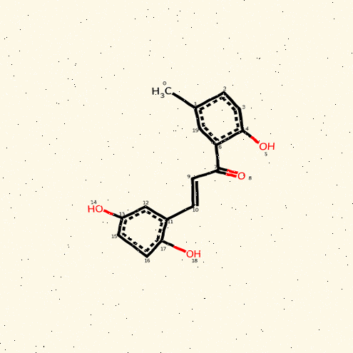 Cc1ccc(O)c(C(=O)C=Cc2cc(O)ccc2O)c1